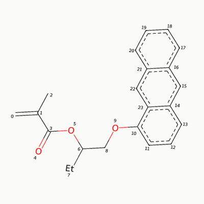 C=C(C)C(=O)OC(CC)COc1cccc2cc3ccccc3cc12